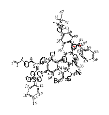 C=CCOC[C@H](COS(=O)(=O)c1ccc(C)cc1)Oc1c(Cl)c(C)c(-c2c(Br)sc3ncnc(O[C@H](Cc4cc(O[Si](C)(C)C(C)(C)C)ccc4OCc4ccccc4)C(=O)OC(C)(C)C)c23)c(C)c1Cl